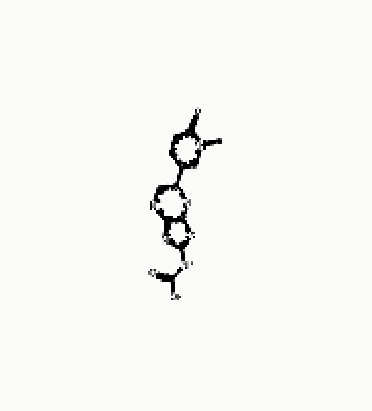 Cn1cc(-c2cnc3nc(NC(=O)O)sc3n2)ccc1=O